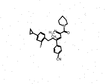 C/N=C(\C=C(\c1ccc(C#N)cc1)[C@H](C)Cc1ccc(C2CC2)cc1F)C(=O)N1CCCCC1